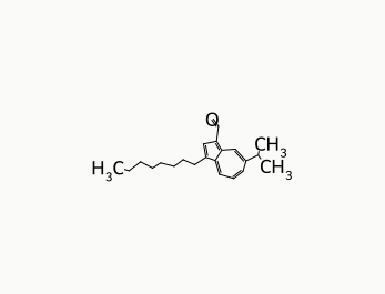 CCCCCCCCc1cc(C=O)c2cc(C(C)C)cccc1-2